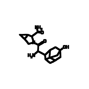 NC(=O)C1C2CC2CN1C(=O)C(N)C1C2CC3CC1CC(O)(C3)C2